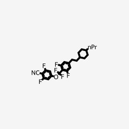 CCCC1CCC(CCc2cc(F)c(C(F)(F)Oc3cc(F)c(C#N)c(F)c3)c(F)c2)CC1